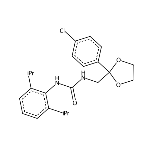 CC(C)c1cccc(C(C)C)c1NC(=O)NCC1(c2ccc(Cl)cc2)OCCO1